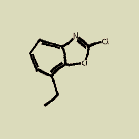 CCc1cccc2nc(Cl)oc12